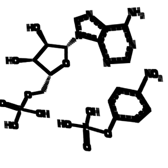 Nc1ncnc2c1ncn2[C@@H]1O[C@H](COP(=O)(O)O)[C@@H](O)[C@H]1O.O=[N+]([O-])c1ccc(OP(=O)(O)O)cc1